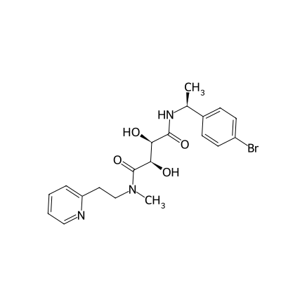 C[C@H](NC(=O)[C@H](O)[C@@H](O)C(=O)N(C)CCc1ccccn1)c1ccc(Br)cc1